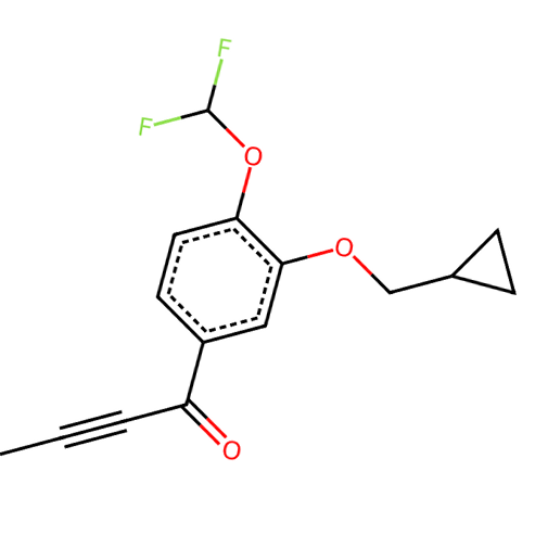 CC#CC(=O)c1ccc(OC(F)F)c(OCC2CC2)c1